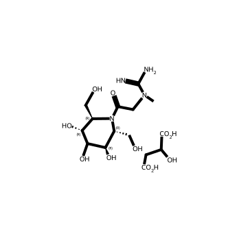 CN(CC(=O)N1[C@H](CO)[C@@H](O)C(O)[C@H](O)[C@H]1CO)C(=N)N.O=C(O)CC(O)C(=O)O